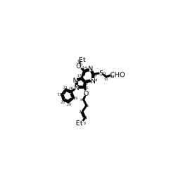 CCC=CCCOc1c2nc(SCC=O)nc(OCC)c2nn1-c1ccccc1